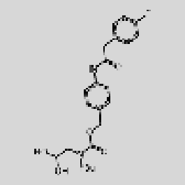 CCCCN(CC(O)O)C(=O)OCc1ccc(NC(=O)Cc2ccc(F)cc2)cc1